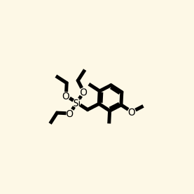 CCO[Si](Cc1c(C)ccc(OC)c1C)(OCC)OCC